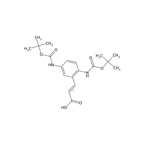 CC(C)(C)OC(=O)Nc1ccc(NC(=O)OC(C)(C)C)c(/C=C/C(=O)O)c1